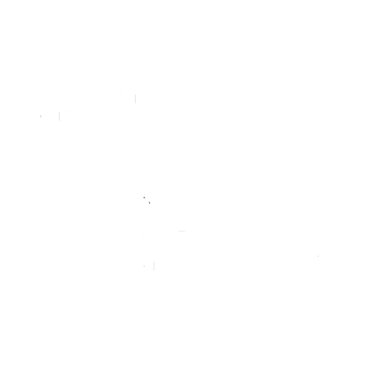 CC1=CC(C)(C)N(CCCCCC(=O)O)c2cc(O)c(C=O)cc21